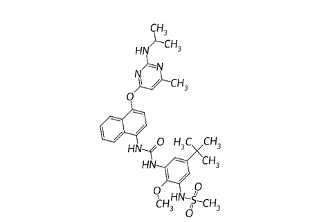 COc1c(NC(=O)Nc2ccc(Oc3cc(C)nc(NC(C)C)n3)c3ccccc23)cc(C(C)(C)C)cc1NS(C)(=O)=O